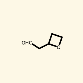 O=[C]CC1CCO1